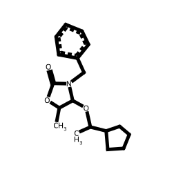 CC(OC1C(C)OC(=O)N1Cc1ccccc1)C1CCCC1